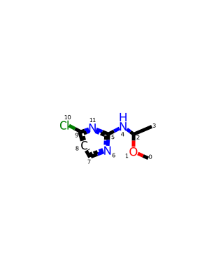 COC(C)Nc1nccc(Cl)n1